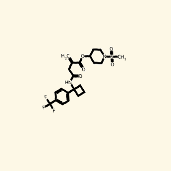 C=C(CC(=O)NC1(c2ccc(C(F)(F)F)cc2)CCC1)C(=O)OC1CCN(S(C)(=O)=O)CC1